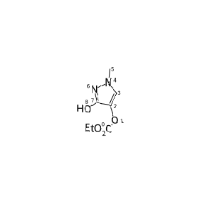 CCOC(=O)Oc1cn(C)nc1O